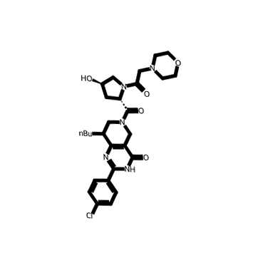 CCCCC1CN(C(=O)[C@@H]2C[C@@H](O)CN2C(=O)CN2CCOCC2)Cc2c1nc(-c1ccc(Cl)cc1)[nH]c2=O